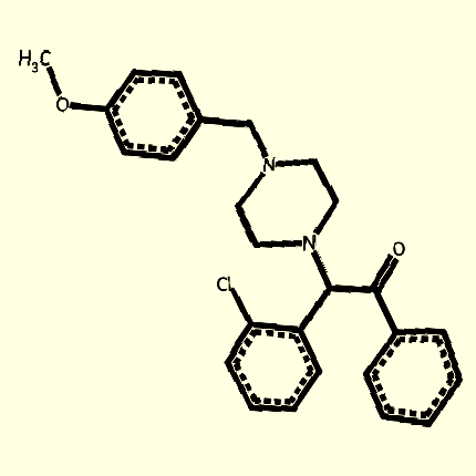 COc1ccc(CN2CCN(C(C(=O)c3ccccc3)c3ccccc3Cl)CC2)cc1